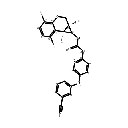 N#Cc1cccc(Oc2ccc(NC(=O)N[C@@H]3[C@@H]4COc5c(F)ccc(F)c5[C@@H]43)nc2)c1